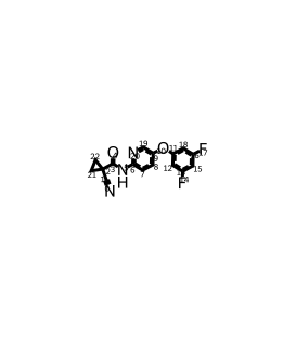 N#CC1(C(=O)Nc2ccc(Oc3cc(F)cc(F)c3)cn2)CC1